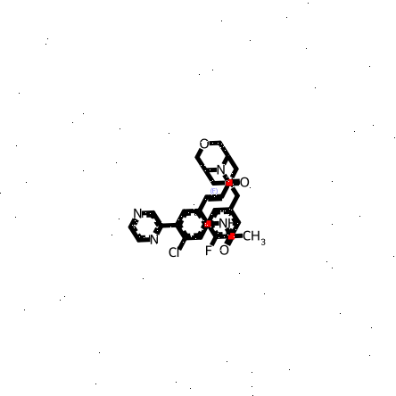 CC(=O)Nc1cc(Cl)c(-c2cnccn2)cc1/C=C/C(=O)N1C2COCC1CN(Cc1ccc(F)cc1)C2